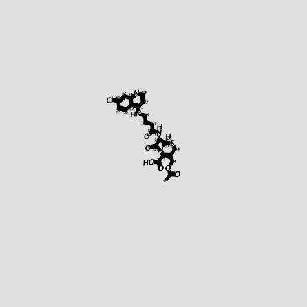 CC(=O)OCC1=C(C(=O)O)N2C(=O)[C@@H](NC(=O)CCCNc3ccnc4cc(Cl)ccc34)[C@H]2SC1